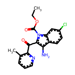 CCOC(=O)n1c(C(=O)c2ncccc2C)c(N)c2ccc(Cl)cc21